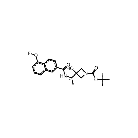 C[C@@H](NC(=O)c1ccc2c(OF)cccc2c1)C1(O)CN(C(=O)OC(C)(C)C)C1